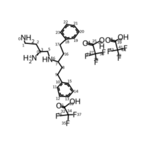 NCC[C@H](N)CNC(CCc1ccccc1)CCc1ccccc1.O=C(O)C(F)(F)F.O=C(O)C(F)(F)F.O=C(O)C(F)(F)F